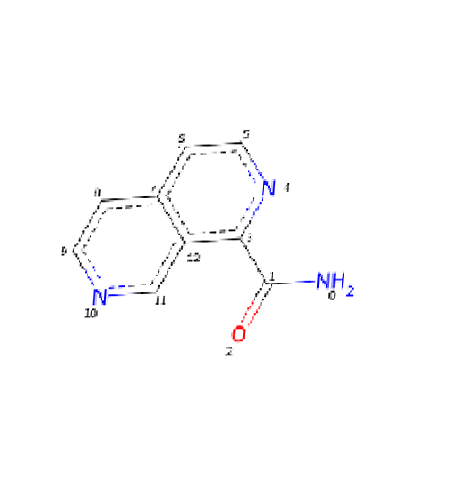 NC(=O)c1nc[c]c2ccncc12